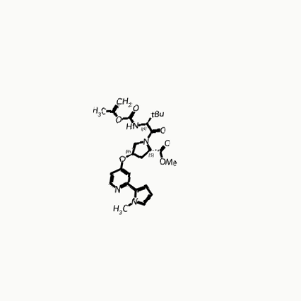 C=C(C)OC(=O)N[C@H](C(=O)N1C[C@H](Oc2ccnc(-c3cccn3C)c2)C[C@H]1C(=O)OC)C(C)(C)C